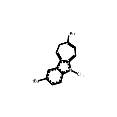 Cn1c2c(c3cc(C(C)(C)C)ccc31)=CCC(C(C)(C)C)=CC=2